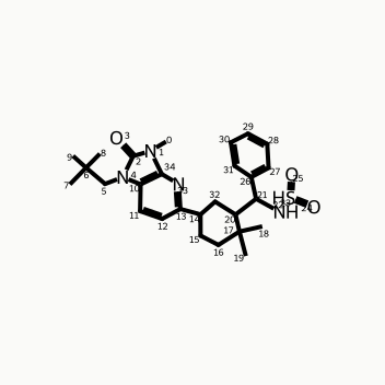 Cn1c(=O)n(CC(C)(C)C)c2ccc(C3CCC(C)(C)C(C(N[SH](=O)=O)c4ccccc4)C3)nc21